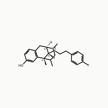 CC1CN(C)[C@@H]2Cc3ccc(O)cc3[C@]1(C)[C@H]2NCCc1ccc(F)cc1